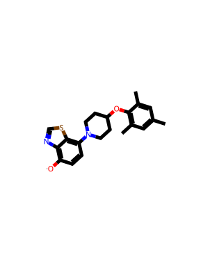 Cc1cc(C)c(OC2CCN(c3ccc([O])c4ncsc34)CC2)c(C)c1